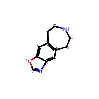 c1nc2cc3c(cc2o1)CCNCC3